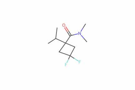 CC(C)C1(C(=O)N(C)C)CC(F)(F)C1